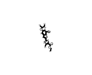 CCOC(=O)c1sc(-c2cc3cc(OC(C)CC)cc(Br)c3s2)nc1C